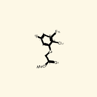 COC(=O)COc1cc(F)cc(F)c1Cl